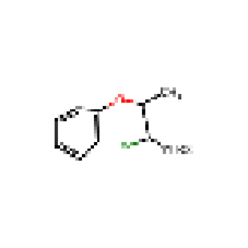 CCCCCCC(F)C(C)Oc1ccccc1